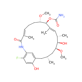 CO[C@H]1C[C@H](C)Cc2cc(c(F)cc2O)NC(=O)/C(C)=C/CC[C@H](OC)[C@@H](OC(N)=O)/C(C)=C/[C@H](C)[C@H]1O